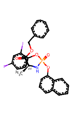 C[C@H](NP(=O)(Oc1ccc(I)cc1I)Oc1cccc2ccccc12)C(=O)OCc1ccccc1